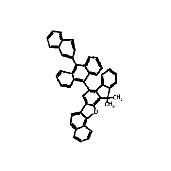 CC1(C)c2ccccc2-c2c(-c3c4ccccc4c(-c4ccc5ccccc5c4)c4ccccc34)cc3c(oc4c5ccccc5ccc34)c21